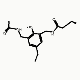 CCCC(=O)NCc1cc(CC)cc(CNC(C)=O)c1O